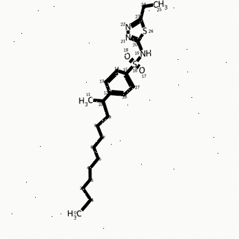 CCCCCCCCCCC(C)c1ccc(S(=O)(=O)Nc2nnc(CC)s2)cc1